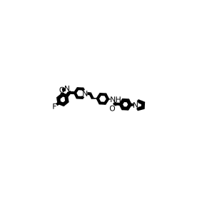 O=C(N[C@H]1CC[C@H](CCN2CCC(c3noc4cc(F)ccc34)CC2)CC1)c1ccc(-n2cccc2)cc1